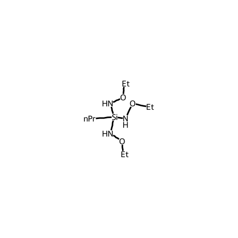 CCC[Si](NOCC)(NOCC)NOCC